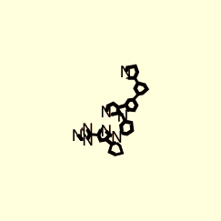 C1=Cc2c(n(-c3cccc(-n4c5ccc(-c6cccc(-c7cccnc7)c6)cc5c5ccncc54)c3)c3ncc(-c4ncncn4)cc23)CC1